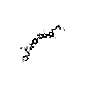 C[C@H](N)CCCc1cc(Cl)c(F)c(-c2cc3cn(-c4ccc([C@H](C)NCC[C@@H](CN5CCOCC5)NC(=N)N)cc4)c(=O)nc3[nH]2)c1